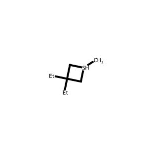 CCC1(CC)C[SH](C)C1